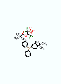 CC(C)(C)C(=O)OC(C(F)(F)F)C(F)(F)S(=O)(=O)[O-].CC(C)(C)c1ccc([S+](c2ccccc2)c2ccccc2)cc1